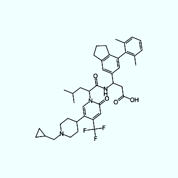 Cc1cccc(C)c1-c1cc(C(CC(=O)O)NC(=O)C(CC(C)C)n2cc(C3CCN(CC4CC4)CC3)c(C(F)(F)F)cc2=O)cc2c1CCC2